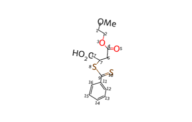 COCCOC(=O)CC(SC(=S)c1ccccc1)C(=O)O